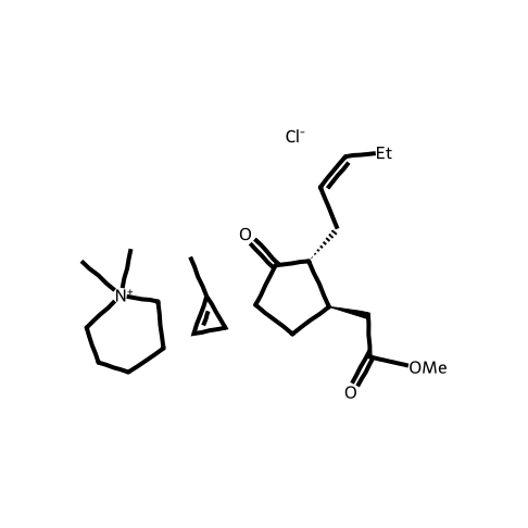 CC/C=C\C[C@H]1C(=O)CC[C@@H]1CC(=O)OC.CC1=CC1.C[N+]1(C)CCCCC1.[Cl-]